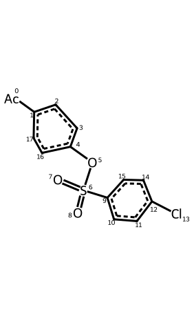 CC(=O)c1ccc(OS(=O)(=O)c2ccc(Cl)cc2)cc1